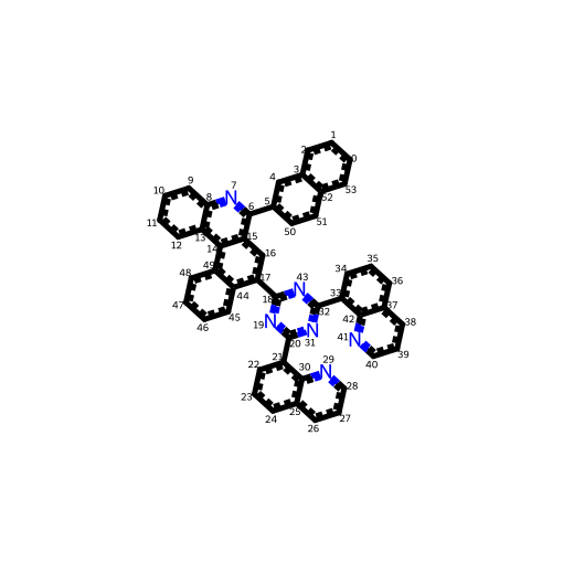 c1ccc2cc(-c3nc4ccccc4c4c3cc(-c3nc(-c5cccc6cccnc56)nc(-c5cccc6cccnc56)n3)c3ccccc34)ccc2c1